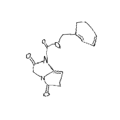 O=C1CC=C2N1CC(=O)N2C(=O)OCC1=CC=CCC1